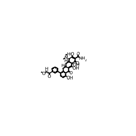 CONC(=O)c1cccc(-c2ccc(O)c3c2C[C@H]2C[C@H]4[C@H](N(C)C)C(O)=C(C(N)=O)C(=O)[C@@]4(O)C(O)=C2C3=O)c1